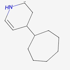 [C]1CC(C2CCCCCC2)C=CN1